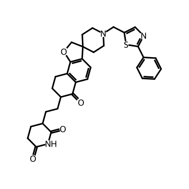 O=C1CCC(CCC2CCc3c(ccc4c3OCC43CCN(Cc4cnc(-c5ccccc5)s4)CC3)C2=O)C(=O)N1